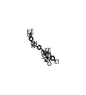 O=C1CS/C(=N\C(=S)NOCc2ccc(-c3ncn(-c4ccc(OC(F)(F)F)cc4)n3)cc2)N1c1cc(Cl)ccc1OCC(F)(F)F